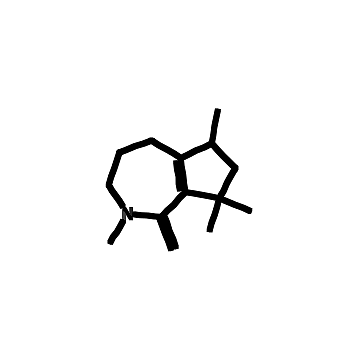 C=C1C2=C(CCCN1C)C(C)CC2(C)C